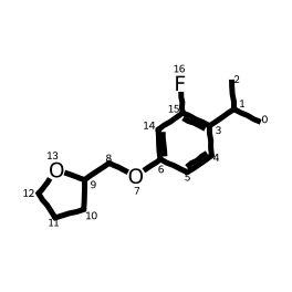 CC(C)c1ccc(OCC2CCCO2)cc1F